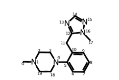 CN1CCN(c2ccccc2Cc2ncnn2C)CC1